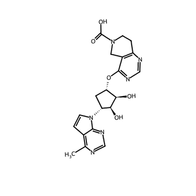 Cc1ncnc2c1ccn2[C@@H]1C[C@H](Oc2ncnc3c2CN(C(=O)O)CC3)[C@@H](O)[C@H]1O